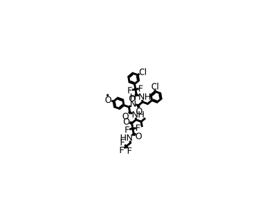 COc1ccc(C(NC(=O)C(Cc2cccc(Cl)c2)NC(=O)C(F)(F)c2cccc(Cl)c2)C(=O)NC(C(=O)C(F)(F)C(=O)NCC(F)(F)F)C(C)C)cc1